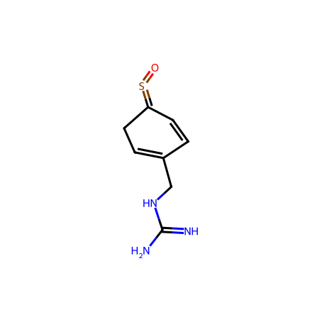 N=C(N)NCC1=CCC(=S=O)C=C1